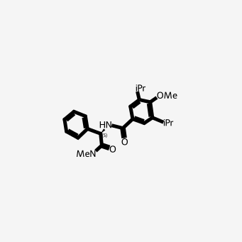 CNC(=O)[C@@H](NC(=O)c1cc(C(C)C)c(OC)c(C(C)C)c1)c1ccccc1